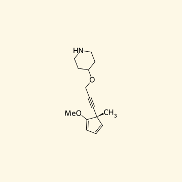 COC1=CC=C[C@@]1(C)C#CCOC1CCNCC1